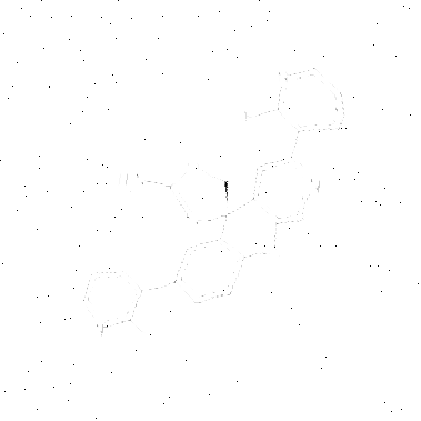 NC1=N[C@@]2(CO1)c1cc(-c3cccnc3F)ccc1Oc1cnc(-c3cccnc3F)cc12